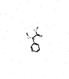 COC(=O)[C@@H](OC)c1ccccc1